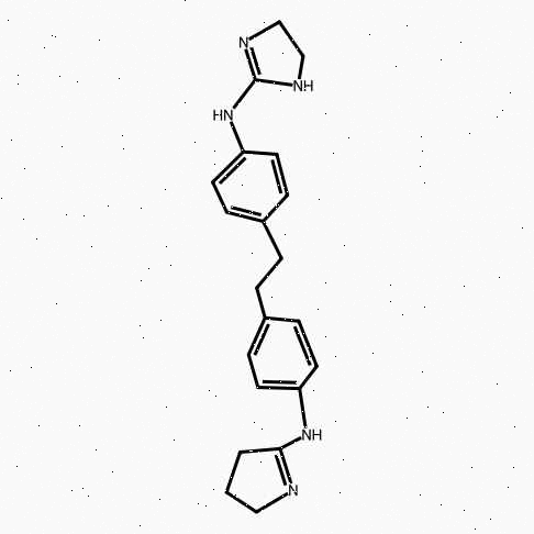 c1cc(NC2=NCCC2)ccc1CCc1ccc(NC2=NCCN2)cc1